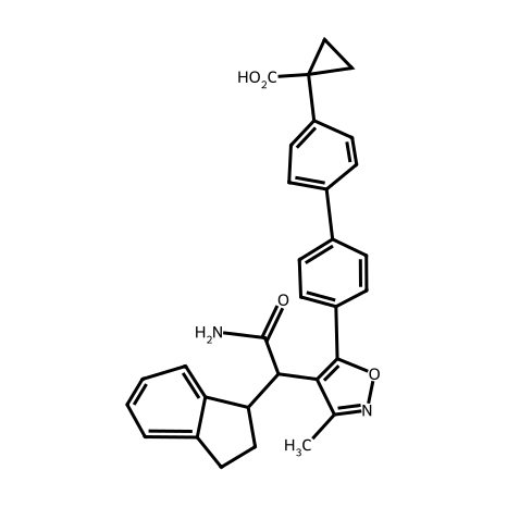 Cc1noc(-c2ccc(-c3ccc(C4(C(=O)O)CC4)cc3)cc2)c1C(C(N)=O)C1CCc2ccccc21